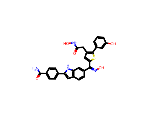 NC(=O)c1ccc(-c2cc3ccc(/C(=N/O)c4cc(CC(=O)NO)c(-c5cccc(O)c5)s4)cc3[nH]2)cc1